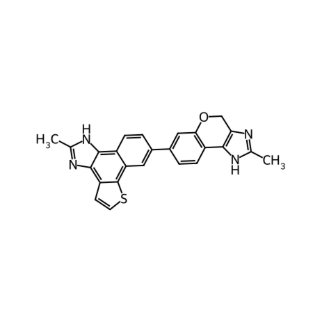 Cc1nc2c([nH]1)-c1ccc(-c3ccc4c(c3)c3sccc3c3nc(C)[nH]c43)cc1OC2